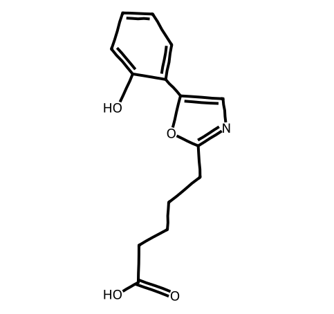 O=C(O)CCCCc1ncc(-c2ccccc2O)o1